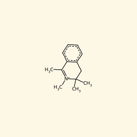 CC1=[N+](C)C(C)(C)Cc2ccccc21